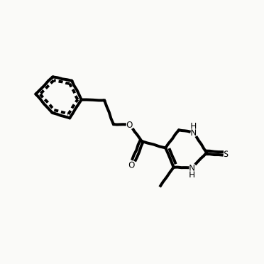 CC1=C(C(=O)OCCc2ccccc2)CNC(=S)N1